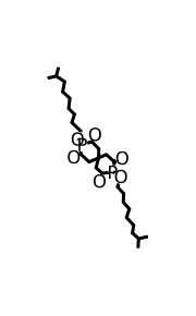 CC(C)CCCCCCCOP1C(=O)CC2(CC1=O)CC(=O)P(OCCCCCCCC(C)C)C(=O)C2